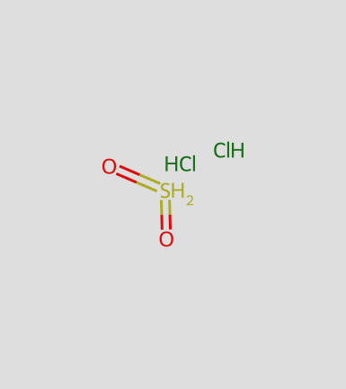 Cl.Cl.O=[SH2]=O